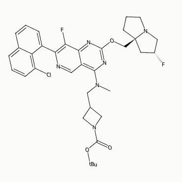 CN(CC1CN(C(=O)OC(C)(C)C)C1)c1nc(OC[C@@]23CCCN2C[C@H](F)C3)nc2c(F)c(-c3cccc4cccc(Cl)c34)ncc12